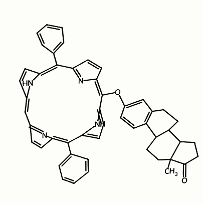 CC12CCC3c4ccc(Oc5c6nc(c(-c7ccccc7)c7ccc(cc8nc(c(-c9ccccc9)c9ccc5[nH]9)C=C8)[nH]7)C=C6)cc4CCC3C1CCC2=O